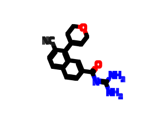 N#Cc1ccc2ccc(C(=O)N=C(N)N)cc2c1C1=CCOCC1